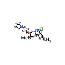 COc1cc2c3c(c(Cl)nc2cc1OCCCN1CCCC1)CC(C)C3